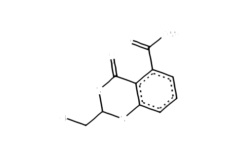 COC(=O)c1cccc2c1C(=O)NC(CCl)N2